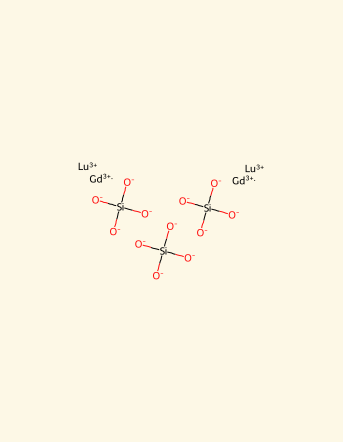 [Gd+3].[Gd+3].[Lu+3].[Lu+3].[O-][Si]([O-])([O-])[O-].[O-][Si]([O-])([O-])[O-].[O-][Si]([O-])([O-])[O-]